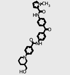 Cn1cccc1C(=O)Nc1ccc(C(=O)c2ccc(NC(=O)c3ccc(N4CCCC(CO)C4)cc3)cc2)cc1